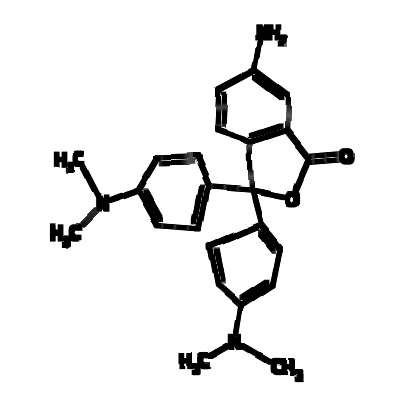 CN(C)c1ccc(C2(c3ccc(N(C)C)cc3)OC(=O)c3cc(N)ccc32)cc1